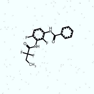 CCC(F)(F)C(=O)Nc1c(F)ccc(NC(=O)c2ccccc2)c1F